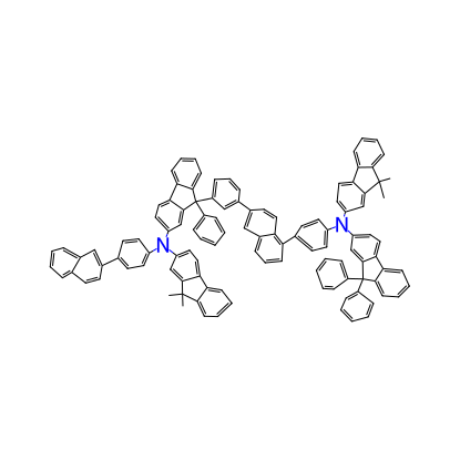 CC1(C)c2ccccc2-c2ccc(N(c3ccc(-c4cccc5cc(-c6cccc(C7(c8ccccc8)c8ccccc8-c8ccc(N(c9ccc(-c%10ccc%11ccccc%11c%10)cc9)c9ccc%10c(c9)C(C)(C)c9ccccc9-%10)cc87)c6)ccc45)cc3)c3ccc4c(c3)C(c3ccccc3)(c3ccccc3)c3ccccc3-4)cc21